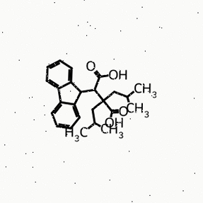 CC(C)CC(CC(C)C)(C(=O)O)C(C(=O)O)C1c2ccccc2-c2ccccc21